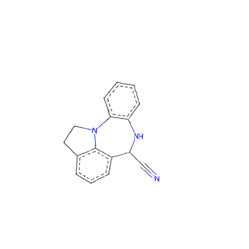 N#CC1Nc2ccccc2N2CCc3cccc1c32